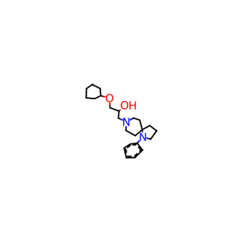 OC(COC1CCCCC1)CN1CCC2(CCCN2c2ccccc2)CC1